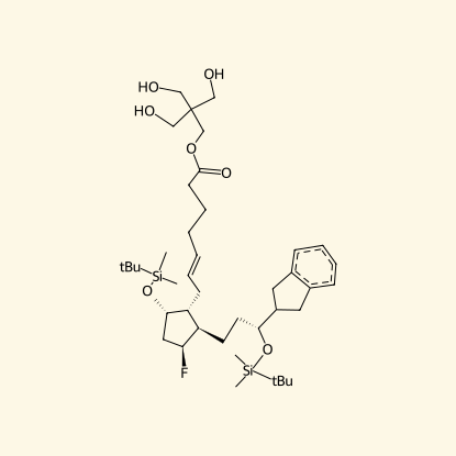 CC(C)(C)[Si](C)(C)O[C@H]1C[C@H](F)[C@H](CC[C@@H](O[Si](C)(C)C(C)(C)C)C2Cc3ccccc3C2)[C@H]1C/C=C/CCCC(=O)OCC(CO)(CO)CO